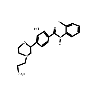 Cl.O=C(O)CCN1CCOC(c2ccc(C(=O)N(Cl)c3ccccc3Cl)cc2)C1